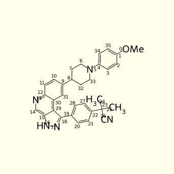 COc1ccc(N2CCC(c3ccc4ncc5[nH]nc(-c6ccc(C(C)(C)C#N)cc6)c5c4c3)CC2)cc1